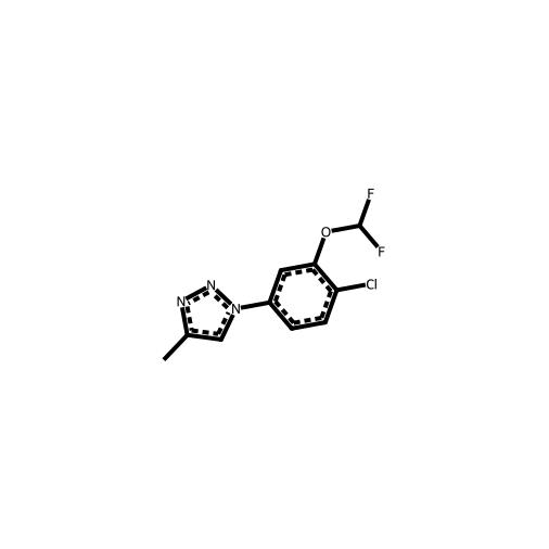 Cc1cn(-c2ccc(Cl)c(OC(F)F)c2)nn1